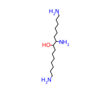 NCCCCCCCC(O)C(N)CCCCCCN